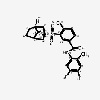 Cc1cc(F)c(F)cc1NC(=O)c1ccc(Cl)c(S(=O)(=O)[C@@H]2CC3CC[C@@H](C2)[C@]3(C)O)c1